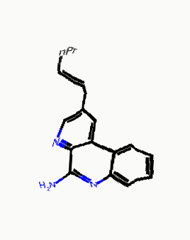 CCC/C=C/c1cnc2c(N)nc3ccccc3c2c1